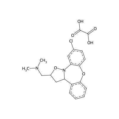 CN(C)CC1CC2c3ccccc3Oc3ccc(Cl)cc3N2O1.O=C(O)C(=O)O